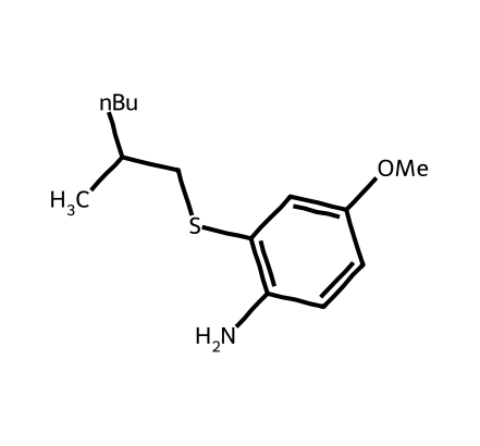 CCCCC(C)CSc1cc(OC)ccc1N